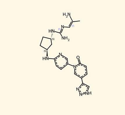 C/C(N)=C/N=C(\N)N[C@H]1CC[C@H](Nc2ccc(-n3cc(-c4c[nH]nn4)ccc3=O)cn2)C1